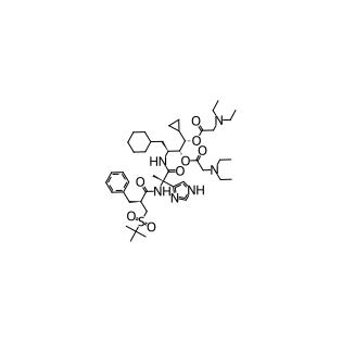 CCN(CC)CC(=O)O[C@H]([C@H](CC1CCCCC1)NC(=O)[C@@](C)(NC(=O)[C@H](Cc1ccccc1)CS(=O)(=O)C(C)(C)C)c1c[nH]cn1)[C@@H](OC(=O)CN(CC)CC)C1CC1